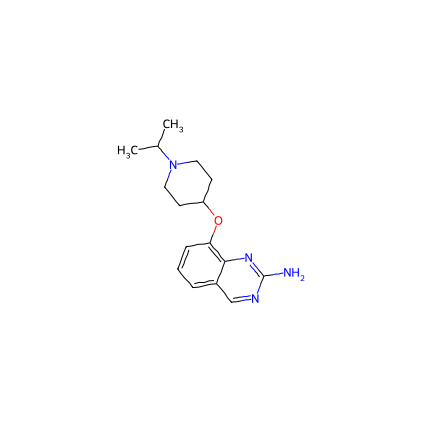 CC(C)N1CCC(Oc2cccc3cnc(N)nc23)CC1